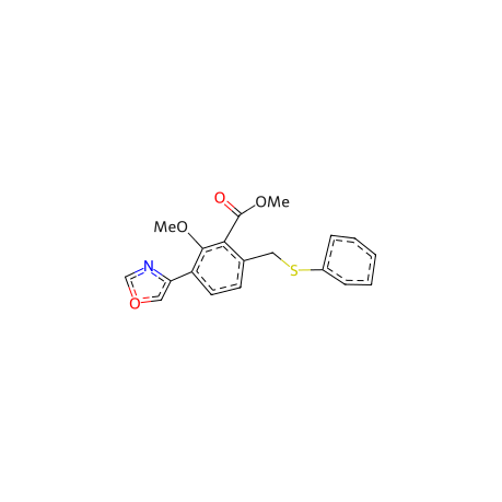 COC(=O)c1c(CSc2ccccc2)ccc(-c2cocn2)c1OC